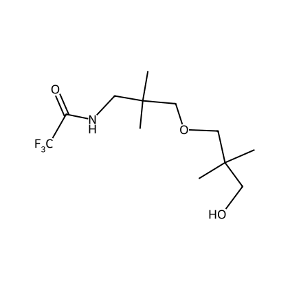 CC(C)(CO)COCC(C)(C)CNC(=O)C(F)(F)F